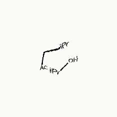 CC(=O)CC(C)C.CC(C)O